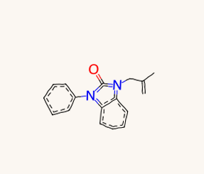 C=C(C)Cn1c(=O)n(-c2ccccc2)c2ccccc21